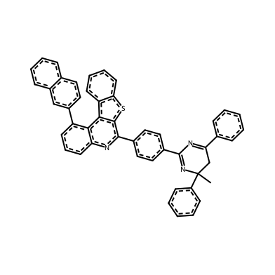 CC1(c2ccccc2)CC(c2ccccc2)=NC(c2ccc(-c3nc4cccc(-c5ccc6ccccc6c5)c4c4c3sc3ccccc34)cc2)=N1